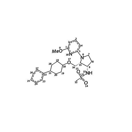 COc1cccc(N2CC[C@H](NS(C)(=O)=O)[C@@H]2COC2CCC(c3ccccc3)CC2)n1